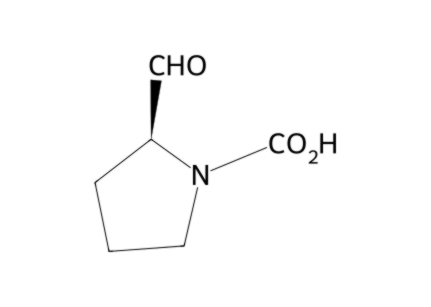 O=C[C@@H]1CCCN1C(=O)O